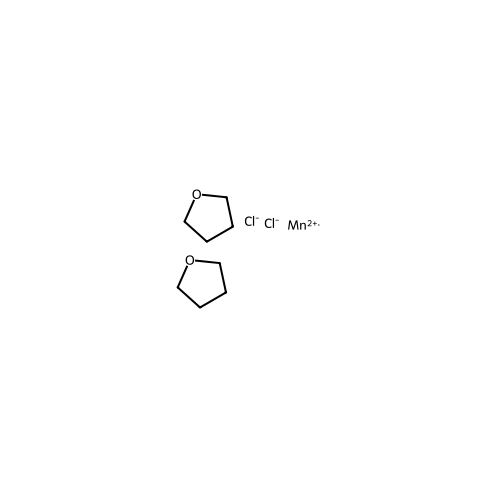 C1CCOC1.C1CCOC1.[Cl-].[Cl-].[Mn+2]